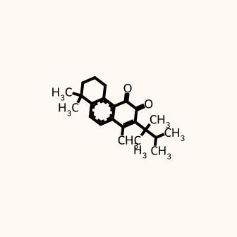 CC1=C(C(C)(C)C(C)C)C(=O)C(=O)c2c1ccc1c2CCCC1(C)C